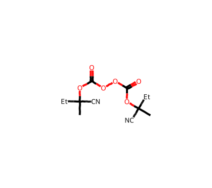 CCC(C)(C#N)OC(=O)OOC(=O)OC(C)(C#N)CC